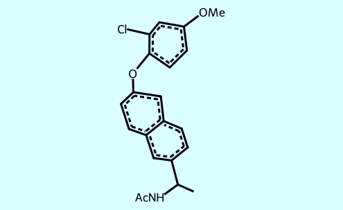 COc1ccc(Oc2ccc3cc(C(C)NC(C)=O)ccc3c2)c(Cl)c1